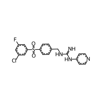 N=C(NCc1ccc(S(=O)(=O)c2cc(F)cc(Cl)c2)cc1)Nc1ccncc1